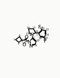 O=S(=O)(C1CCC1)n1nccc1N1CCCC1c1cc(F)ccc1F